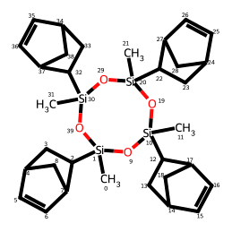 C[Si]1(C2CC3C=CC2C3)O[Si](C)(C2CC3C=CC2C3)O[Si](C)(C2CC3C=CC2C3)O[Si](C)(C2CC3C=CC2C3)O1